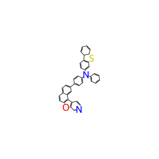 C1=CC2Sc3cc(N(c4ccccc4)c4ccc(-c5ccc6ccc7oc8cnccc8c7c6c5)cc4)ccc3C2C=C1